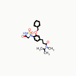 CC(C)N(C)C(=O)CCc1ccc(N2CC(=O)NS2(=O)=O)c(OCc2ccccc2)c1